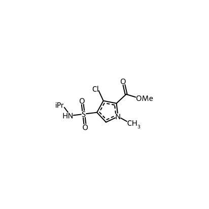 COC(=O)c1c(Cl)c(S(=O)(=O)NC(C)C)cn1C